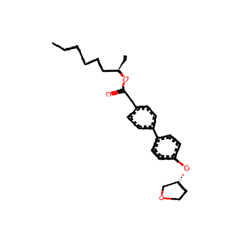 CCCCCC[C@@H](C)OC(=O)c1ccc(-c2ccc(O[C@@H]3CCOC3)cc2)cc1